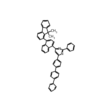 CC1(C)c2ccccc2-c2cccc(-c3ccc(-c4cc(-c5ccc(-c6ccc(-c7ccccc7)cc6)cc5)nc(-c5ccccc5)n4)c4ccccc34)c21